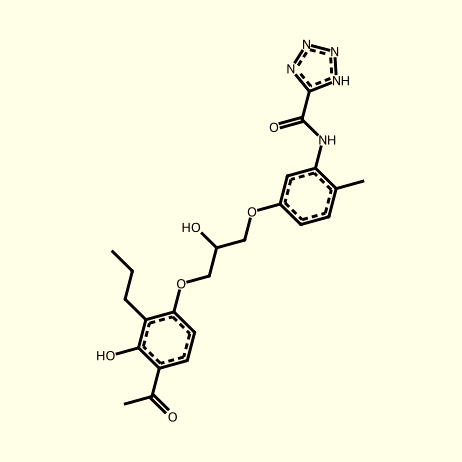 CCCc1c(OCC(O)COc2ccc(C)c(NC(=O)c3nnn[nH]3)c2)ccc(C(C)=O)c1O